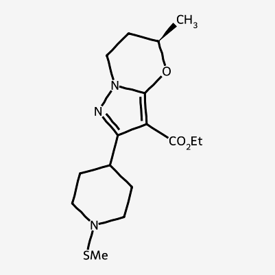 CCOC(=O)c1c(C2CCN(SC)CC2)nn2c1O[C@H](C)CC2